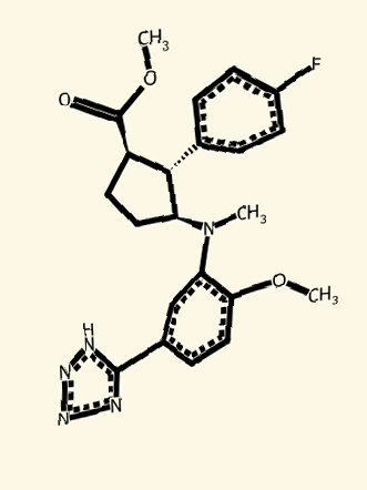 COC(=O)[C@@H]1CC[C@H](N(C)c2cc(-c3nnn[nH]3)ccc2OC)[C@H]1c1ccc(F)cc1